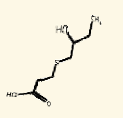 CCC(O)CSCCC(=O)O